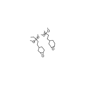 CC[Si](CCC1CCC2OC2C1)(OC)OC.CO[Si](C)(CCC1CCC2OC2C1)OC